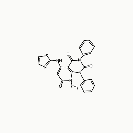 Cn1c(=O)cc(Nc2nccs2)c2c(=O)n(-c3ccccc3)c(=O)n(-c3ccccc3)c21